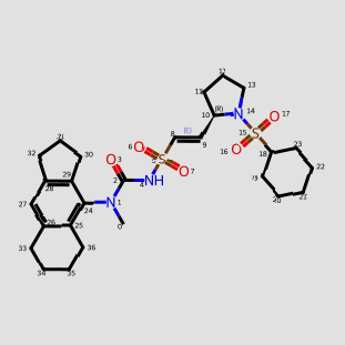 CN(C(=O)NS(=O)(=O)/C=C/[C@H]1CCCN1S(=O)(=O)C1CCCCC1)c1c2c(cc3c1CCC3)CCCC2